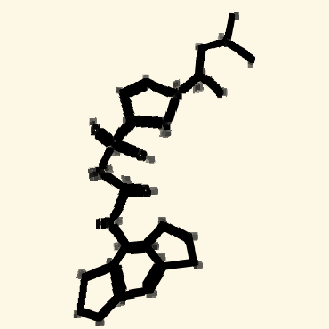 C[C@H](CN(C)C)n1ccc(S(=O)(=O)NC(=O)Nc2c3c(cc4c2CCC4)CCC3)n1